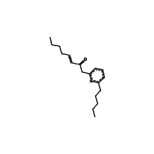 CCCCC=CC(=O)Cc1cccc(CCCCC)n1